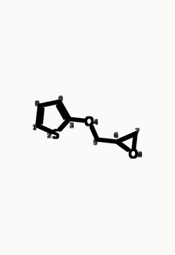 c1csc(OCC2CO2)c1